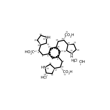 Cl.Cl.Cl.O=C(O)[C@@H](Cc1cc(C[C@H](C(=O)O)[C@H]2CCNC2)cc(C[C@H](C(=O)O)[C@H]2CCNC2)c1)[C@H]1CCNC1